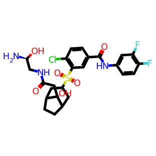 N[C@@H](O)CNC(=O)CC1(O)C2CCC1CC(S(=O)(=O)c1cc(C(=O)Nc3ccc(F)c(F)c3)ccc1Cl)C2